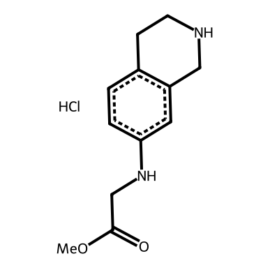 COC(=O)CNc1ccc2c(c1)CNCC2.Cl